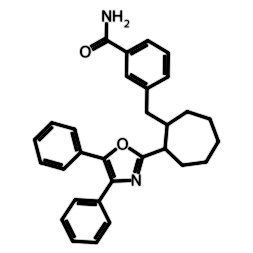 NC(=O)c1cccc(CC2CCCCCC2c2nc(-c3ccccc3)c(-c3ccccc3)o2)c1